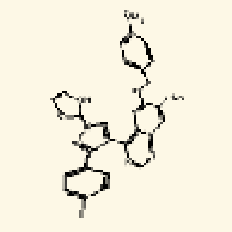 COc1ccc(CNc2nc3c(-c4cn(C5NCCO5)nc4-c4ccc(F)cc4)ncnc3cc2OC)cc1